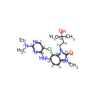 CCN(C)c1ncc(Cl)c(Nc2ccc3c(c2)n(CCC(C)(C)O)c(=O)n3C)n1